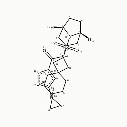 O=C(N[C@H]1C[C@H]2CC[C@@H](C1)N2S(=O)(=O)N1CC2(CCNCC2)C1)c1cc(C2CC2)on1